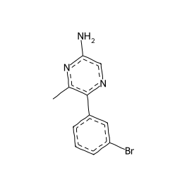 Cc1nc(N)cnc1-c1cccc(Br)c1